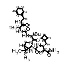 CC(C)(C)[C@H](NC(=O)N[C@H](C(=O)N1C[C@H]2[C@@H]([C@H]1C(=O)N[C@@H](CC1CCC1)C(=O)C(N)=O)C2(C)C)C(C)(C)C)C(=O)NCc1ccccc1